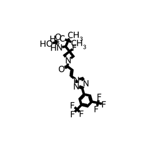 CC(C)(C)C(NC(=O)O)C1(F)CN(C(=O)C=Cn2cnc(-c3cc(C(F)(F)F)cc(C(F)(F)F)c3)n2)C1